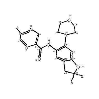 Cc1cnc(C(=O)Nc2cc3c(cc2N2CCOCC2)OC(C)(C)C3)cn1